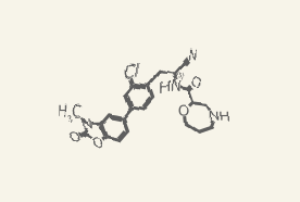 Cn1c(=O)oc2ccc(-c3ccc(C[C@@H](C#N)NC(=O)C4CNCCCO4)c(Cl)c3)cc21